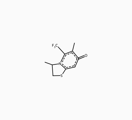 Cc1c(C(F)(F)F)n2c(cc1=O)SCC2C